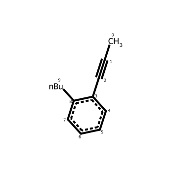 CC#Cc1ccccc1CCCC